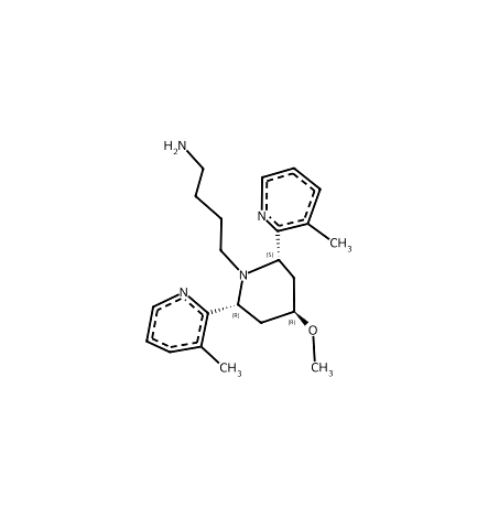 CO[C@H]1C[C@H](c2ncccc2C)N(CCCCN)[C@H](c2ncccc2C)C1